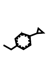 CCc1c[c]c(C2CC2)cc1